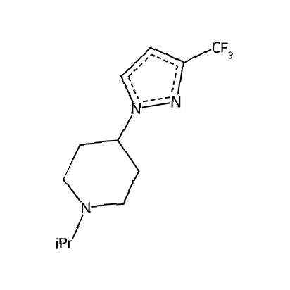 CC(C)N1CCC(n2ccc(C(F)(F)F)n2)CC1